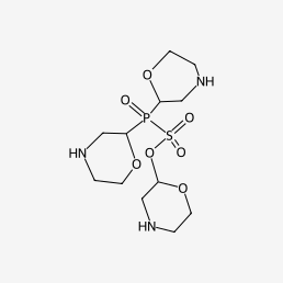 O=P(C1CNCCO1)(C1CNCCO1)S(=O)(=O)OC1CNCCO1